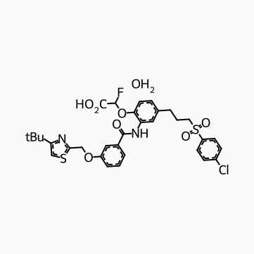 CC(C)(C)c1csc(COc2cccc(C(=O)Nc3cc(CCCS(=O)(=O)c4ccc(Cl)cc4)ccc3OC(F)C(=O)O)c2)n1.O